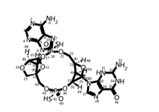 Nc1ncnc2c1ncn2[C@@H]1O[C@@]23CO[C@@H]1[C@@H]2O[P@](=O)(S)OC[C@H]1O[C@@H](n2cnc4c2NC(N)NC4=O)[C@H](O[P@](=O)(S)OC3)[C@@H]1F